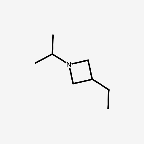 CCC1CN(C(C)C)C1